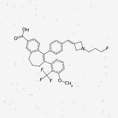 COc1cccc(C2=C(c3ccc(C=C4CN(CCCF)C4)cc3)c3ccc(C(=O)O)cc3CCC2)c1C(F)(F)F